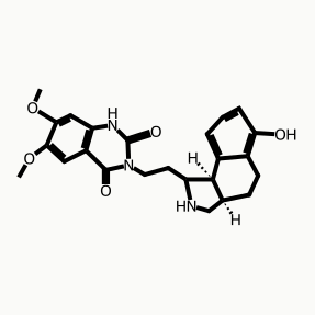 COc1cc2[nH]c(=O)n(CCC3NC[C@@H]4CCc5c(O)cccc5[C@H]34)c(=O)c2cc1OC